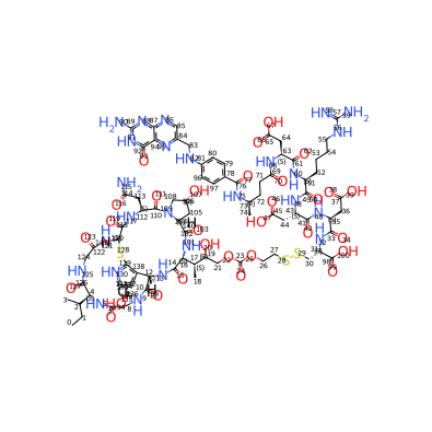 CCC(C)[C@@H]1NC(=O)CNC(=O)[C@H]2NC(=O)[C@H]([C@H](C)[C@@H](O)COC(=O)OCCSSC[C@H](NC(=O)[C@H](CC(=O)O)NC(=O)[C@H](CC(=O)O)NC(=O)[C@H](CCCCNC(=N)N)NC(=O)[C@H](CC(=O)O)NC(=O)CC[C@@H](C)NC(=O)c3ccc(NCc4cnc5nc(N)[nH]c(=O)c5n4)cc3)C(=O)O)NC(=O)[C@@H]3C[C@@H](O)CN3C(=O)[C@H](CC(N)=O)NC(=O)[C@H](NC(=O)CNC1=O)Sc1[nH]c3cc(O)ccc3c12